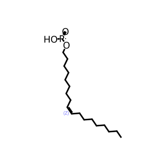 CCCCCCCC/C=C\CCCCCCCCO[P](=O)O